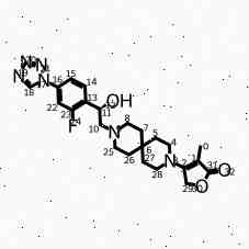 CC1=C(N2CCC3(CCN(C[C@H](O)c4ccc(-n5cnnn5)cc4F)CC3)CC2)COC1=O